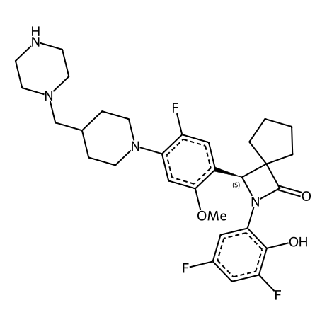 COc1cc(N2CCC(CN3CCNCC3)CC2)c(F)cc1[C@@H]1N(c2cc(F)cc(F)c2O)C(=O)C12CCCC2